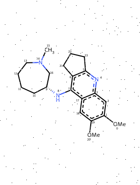 COc1cc2nc3c(c(N[C@@H]4CCCCN(C)C4)c2cc1OC)CCC3